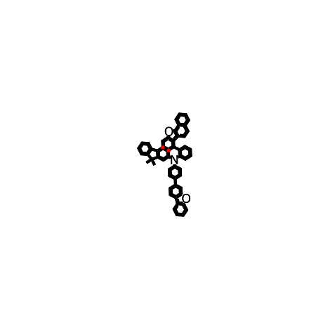 CC1(C)c2ccccc2-c2ccc(N(c3ccc(-c4ccc5c(c4)oc4ccccc45)cc3)c3ccccc3-c3cccc4oc5c6ccccc6ccc5c34)cc21